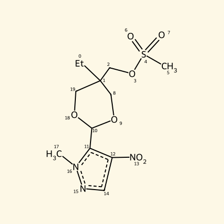 CCC1(COS(C)(=O)=O)COC(c2c([N+](=O)[O-])cnn2C)OC1